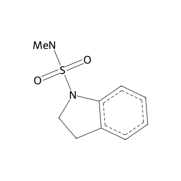 CNS(=O)(=O)N1CCc2ccccc21